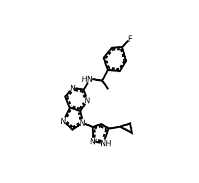 CC(Nc1ncc2ncn(-c3cc(C4CC4)[nH]n3)c2n1)c1ccc(F)cc1